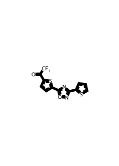 O=C(c1ccc(-c2nc(-c3cccs3)no2)s1)C(F)(F)F